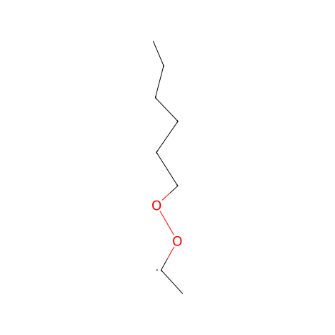 C[CH]OOCCCCCC